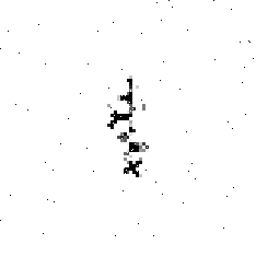 COC(=O)N[C@H](CNC(=O)OC(C)(C)C)C(C)=O